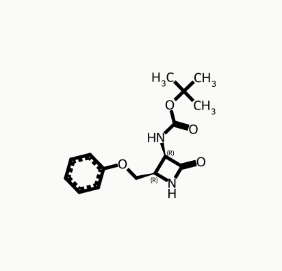 CC(C)(C)OC(=O)N[C@H]1C(=O)N[C@H]1COc1ccccc1